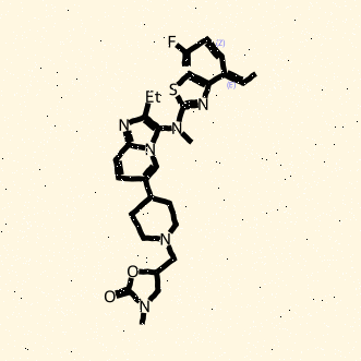 C=C(F)/C=C\C(=C/C)c1csc(N(C)c2c(CC)nc3ccc(C4CCN(CC5CN(C)C(=O)O5)CC4)cn23)n1